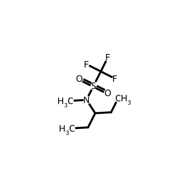 CCC(CC)N(C)S(=O)(=O)C(F)(F)F